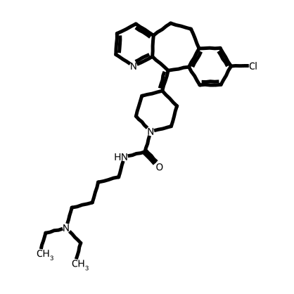 CCN(CC)CCCCNC(=O)N1CCC(=C2c3ccc(Cl)cc3CCc3cccnc32)CC1